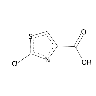 O=C(O)c1csc(Cl)n1